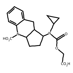 O=C(O)COC(=O)N(C1CC1)C1CCC2C1Cc1ccccc1N2C(=O)O